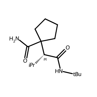 CC(C)[C@@H](C(=O)NC(C)(C)C)C1(C(N)=O)CCCC1